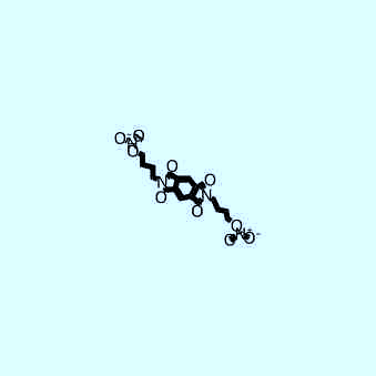 O=c1c2cc3c(=O)n(CCCCO[N+](=O)[O-])c(=O)c3cc2c(=O)n1CCCCO[N+](=O)[O-]